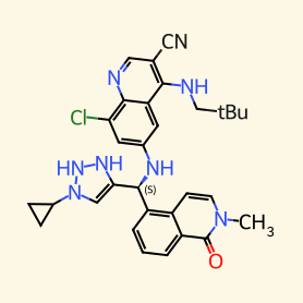 Cn1ccc2c([C@H](Nc3cc(Cl)c4ncc(C#N)c(NCC(C)(C)C)c4c3)C3=CN(C4CC4)NN3)cccc2c1=O